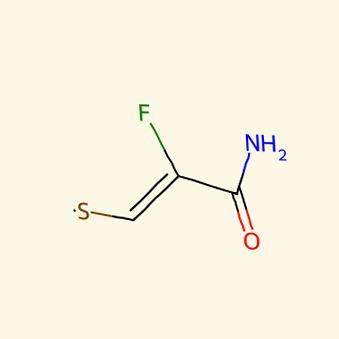 NC(=O)C(F)=C[S]